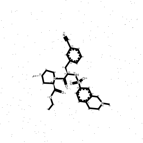 CCOC(=O)[C@H]1C[C@H](C)CCN1C(=O)[C@@H](Cc1cccc(C#N)c1)NS(=O)(=O)c1ccc2c(c1)CN(C)CC2